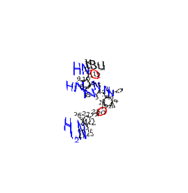 Cn1nc(-c2cnc3[nH]cc(C(=O)NC(C)(C)C)c3n2)c2cc(OCCCC(C)(C)N)ccc21